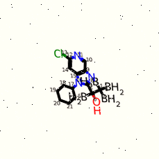 BC(B)(B)C(B)(O)c1nc2cnc(Cl)cc2n1C1CCCCC1